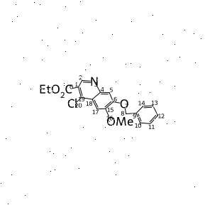 CCOC(=O)c1cnc2cc(OCc3ccccc3)c(OC)cc2c1Cl